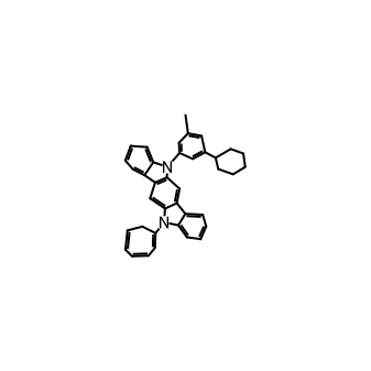 Cc1cc(C2CCCCC2)cc(-n2c3ccccc3c3cc4c(cc32)c2ccccc2n4C2=CC=CC=CC2)c1